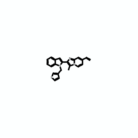 C=Cc1ccn2c(C)c(-c3cc4ccccc4n3Cc3ccsc3)nc2c1